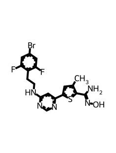 Cc1cc(-c2cc(NCCc3c(F)cc(Br)cc3F)ncn2)sc1/C(N)=N/O